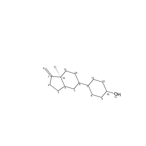 C=C1CCC2CC(C3CCC(O)CC3)CC[C@]12C